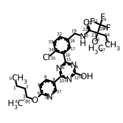 CCC[C@@H](C)Oc1ccc(-c2nc(O)nc(-c3cc(CNC(=O)C(CC)(OC)C(F)(F)F)ccc3Cl)n2)cn1